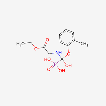 CCOC(=O)CNC(O)(Oc1ccccc1C)P(=O)(O)O